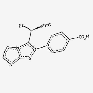 CCCCC[C@H](CC)c1c(-c2ccc(C(=O)O)cc2)sc2nccn12